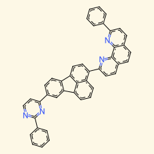 c1ccc(-c2ccc3ccc4ccc(-c5ccc6c7c(cccc57)-c5cc(-c7ccnc(-c8ccccc8)n7)ccc5-6)nc4c3n2)cc1